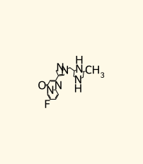 C[C@H]1CNCC(Cn2cc(-c3cc(=O)n4cc(F)ccc4n3)cn2)N1